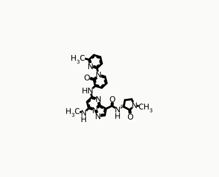 CNc1cc(Nc2cccn(-c3cccc(C)n3)c2=O)nc2c(C(=O)N[C@@H]3CCN(C)C3=O)cnn12